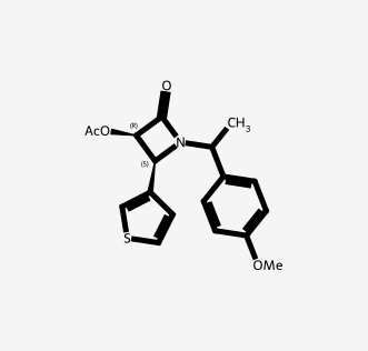 COc1ccc(C(C)N2C(=O)[C@H](OC(C)=O)[C@@H]2c2ccsc2)cc1